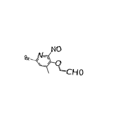 Cc1cc(Br)nc(N=O)c1OCC=O